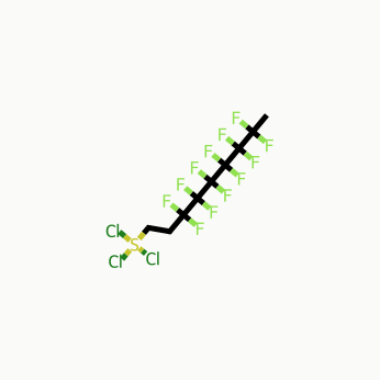 CC(F)(F)C(F)(F)C(F)(F)C(F)(F)C(F)(F)C(F)(F)CCS(Cl)(Cl)Cl